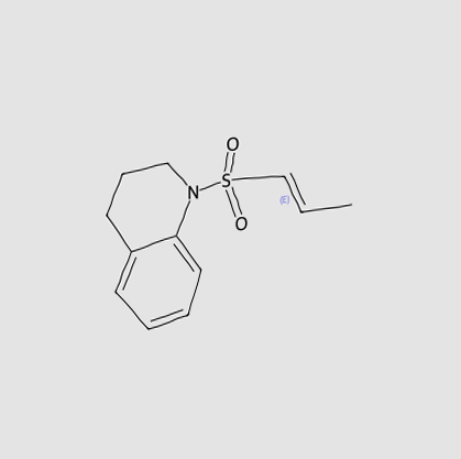 C/C=C/S(=O)(=O)N1CCCc2ccccc21